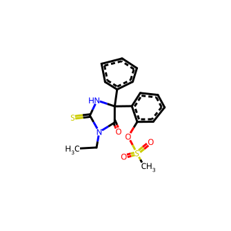 CCN1C(=O)C(c2ccccc2)(c2ccccc2OS(C)(=O)=O)NC1=S